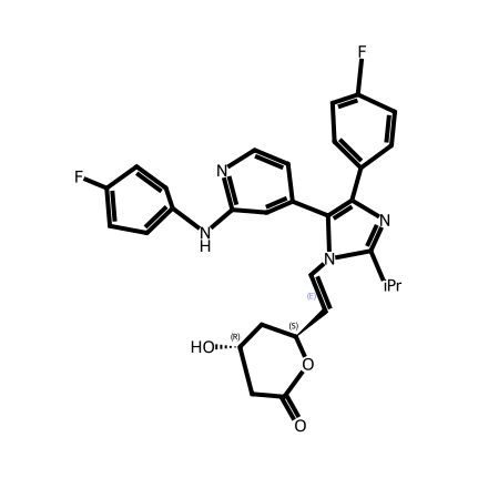 CC(C)c1nc(-c2ccc(F)cc2)c(-c2ccnc(Nc3ccc(F)cc3)c2)n1/C=C/[C@@H]1C[C@@H](O)CC(=O)O1